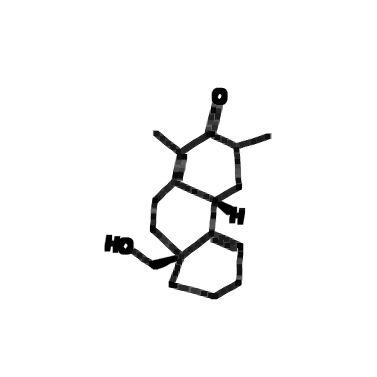 CC1=C2CC[C@@]3(CO)CCCC=C3[C@H]2CC(C)C1=O